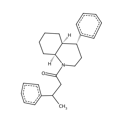 CC(CC(=O)N1CC[C@@H](c2ccccc2)[C@@H]2CCCC[C@@H]21)c1ccccc1